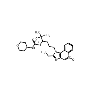 CCc1nc2c[n+]([O-])c3ccccc3c2n1CCCC(OC(=O)NC1CCOCC1)C(C)(C)C